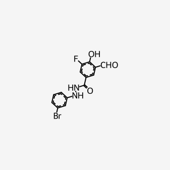 O=Cc1cc(C(=O)NNc2cccc(Br)c2)cc(F)c1O